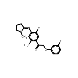 Cc1cc(N=C2CCCN2C)c(Cl)cc1C(=O)COc1cccc(F)c1